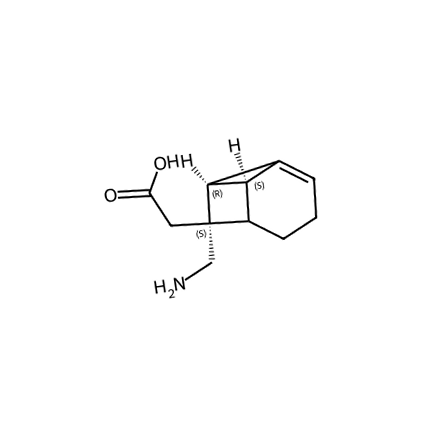 NC[C@@]1(CC(=O)O)C2CCC=C3[C@@H]2[C@H]31